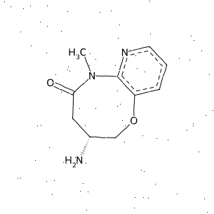 CN1C(=O)C[C@@H](N)COc2cccnc21